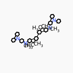 CN(c1ccc(-n2c3ccccc3c3ccccc32)cc1)c1ccc2c(c1)C(C)(C)c1ccc(-c3ccc4c(c3)-c3ccc(N(C)c5ccc6c7ccccc7n(-c7ccccc7)c6c5)cc3C4(C)C)cc1-2